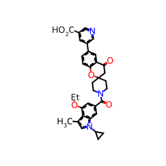 CCOc1cc(C(=O)N2CCC3(CC2)CC(=O)c2cc(-c4cncc(C(=O)O)c4)ccc2O3)cc2c1c(C)cn2C1CC1